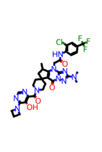 CC1CC2(CCN(C(=O)c3ncnc(N4CCC4)c3O)CC2)c2c1n(CC(=O)Nc1ccc(C(F)(F)F)cc1Cl)c1nc(N(C)C)nn1c2=O